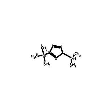 C[SiH](C)C1C=CC([Si](C)(C)C)=C1